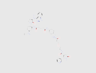 CC(C)N(C)[C@@H]1CC[C@H](N2CC[C@H](Nc3ncnc4ccc(C(F)(F)F)cc34)C2=O)[C@H](NC(=O)CCCC(=O)N[C@H]2CC[C@H](CNC(=O)CCOCCNC(=O)[C@H]3CC(=O)N(C)[C@@H]3c3cccnc3)CC2)C1